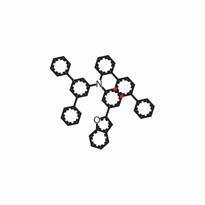 c1ccc(-c2ccc(-c3ccccc3N(c3cc(-c4ccccc4)cc(-c4ccccc4)c3)c3cccc(-c4cc5ccccc5o4)c3)cc2)cc1